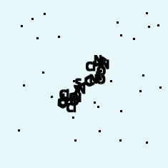 O=C(COc1nccnc1Cl)N1CCC(c2nc(C3=NOC(c4c(Cl)cccc4Cl)C3)cs2)CC1